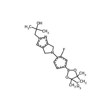 CC(C)(O)Cn1cc2c(n1)CN(c1ccc(B3OC(C)(C)C(C)(C)O3)cc1F)C2